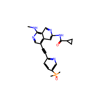 CNc1ncc(C#Cc2ccc(P(C)(C)=O)cn2)c2cc(NC(=O)C3CC3)ncc12